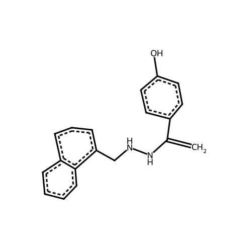 C=C(NNCc1cccc2ccccc12)c1ccc(O)cc1